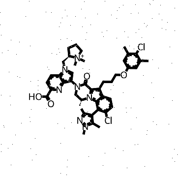 Cc1cc(OCCCc2c3n(c4c(-c5c(C)nn(C)c5C)c(Cl)ccc24)[C@H](C)CN(c2cn(C[C@H]4CCC[N+]4(C)C)c4ccc(C(=O)O)nc24)C3=O)cc(C)c1Cl